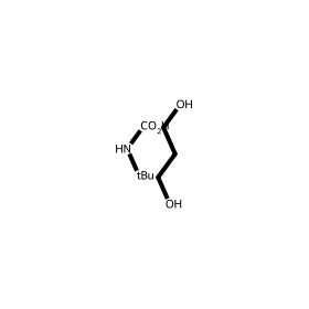 CC(C)(C)NC(=O)O.OCCCO